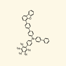 [2H]c1c([2H])c([2H])c(-c2ccc(N(c3ccc(-c4ccccc4)cc3)c3ccc(-c4ccc(-c5cccc6c5oc5ccccc56)cc4)cc3)cc2)c([2H])c1[2H]